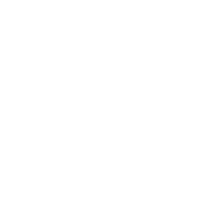 c1cc(Nc2cccc3oc4cccc(-c5cccc(-c6cc7ccccc7c7ccccc67)c5)c4c23)cc(-c2ccc3c(c2)oc2ccccc23)c1